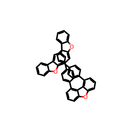 c1ccc2c(c1)oc1cc(-c3ccc(-c4cccc5oc6cccc(-c7ccc(-c8cccc9c8oc8ccccc89)cc7)c6c45)cc3)ccc12